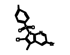 Cc1ccc(S(=O)(=O)n2c(Cl)c(C)c3cc(Br)cnc32)cc1